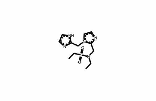 CCN(Cc1nccn1Cc1ncc[nH]1)S(=O)(=O)CC